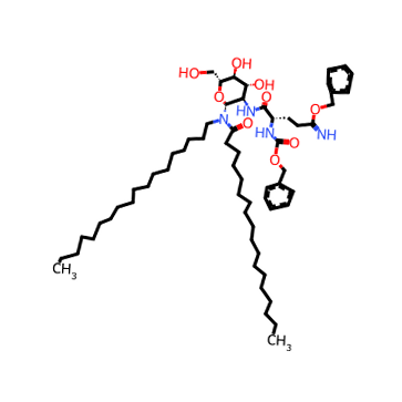 CCCCCCCCCCCCCCCCCCN(C(=O)CCCCCCCCCCCCCCCCC)[C@@H]1O[C@H](CO)[C@@H](O)[C@H](O)[C@H]1NC(=O)[C@H](CCC(=N)OCc1ccccc1)NC(=O)OCc1ccccc1